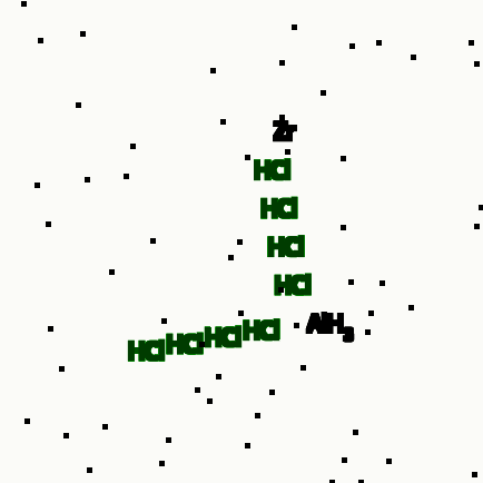 Cl.Cl.Cl.Cl.Cl.Cl.Cl.Cl.[AlH3].[Zr]